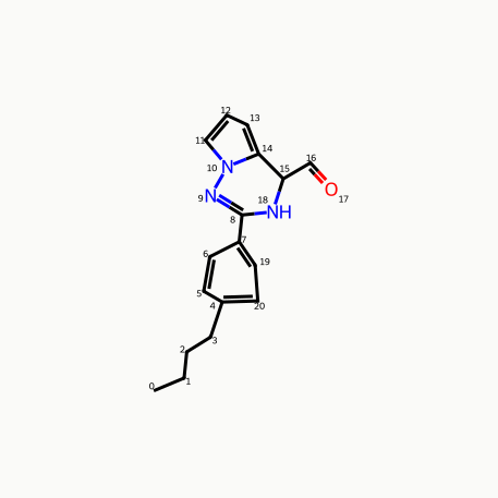 CCCCc1ccc(C2=Nn3cccc3C(C=O)N2)cc1